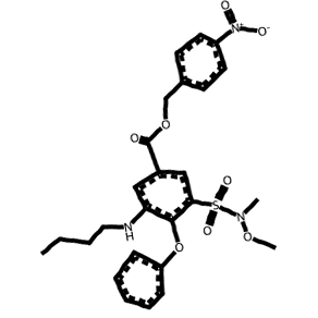 CCCCNc1cc(C(=O)OCc2ccc([N+](=O)[O-])cc2)cc(S(=O)(=O)N(C)OC)c1Oc1ccccc1